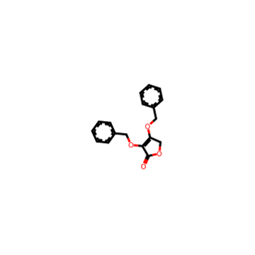 O=C1OCC(OCc2ccccc2)=C1OCc1ccccc1